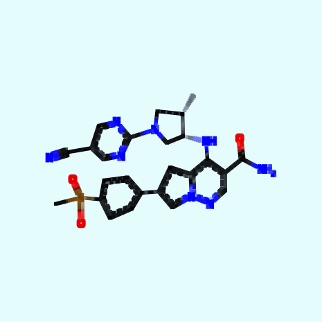 C[C@H]1CN(c2ncc(C#N)cn2)C[C@H]1Nc1c(C(N)=O)cnn2cc(-c3ccc(S(C)(=O)=O)cc3)cc12